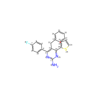 Nc1nc(-c2ccc(F)cc2)c(Cc2ccccc2)c(-c2cccs2)n1